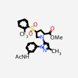 COC(=O)C1CC(S(=O)(=O)c2ccccc2C(F)(F)F)CN1c1cc(C)nn1-c1cccc(NC(C)=O)c1